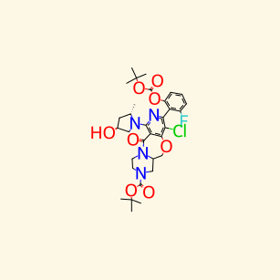 C[C@H]1C[C@H](O)CN1c1nc(-c2c(F)cccc2OC(=O)OC(C)(C)C)c(Cl)c2c1C(=O)N1CCN(C(=O)OC(C)(C)C)CC1CO2